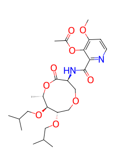 COc1ccnc(C(=O)N[C@H]2COC[C@H](OCC(C)C)[C@@H](OCC(C)C)[C@H](C)OC2=O)c1OC(C)=O